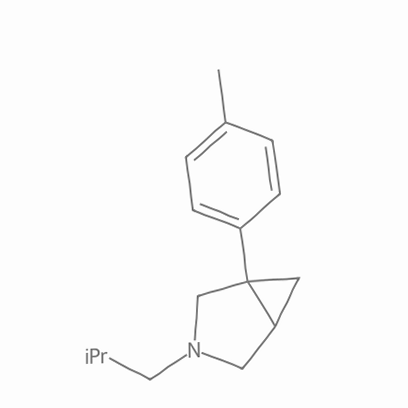 Cc1ccc(C23CC2CN(CC(C)C)C3)cc1